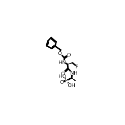 C[C@H](NC(=O)[C@H](CF)NC(=O)OCc1ccccc1)P(=O)(O)O